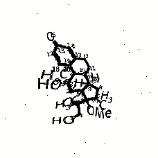 CO[C@]1(C(=O)CO)[C@H](C)C[C@H]2[C@@H]3CCC4=CC(=O)C=C[C@]4(C)C3[C@@H](O)C[C@@]21C